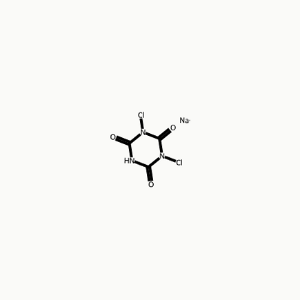 O=c1[nH]c(=O)n(Cl)c(=O)n1Cl.[Na]